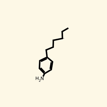 CC[CH]CCCc1ccc(N)cc1